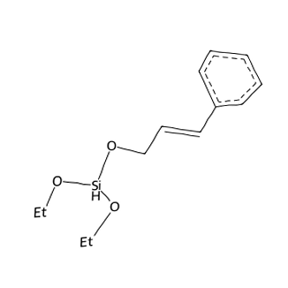 CCO[SiH](OCC)OCC=Cc1ccccc1